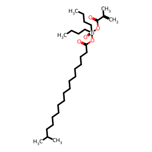 C=C(C)C(=O)[O][Ti](=[O])([CH2]CCC)([CH2]CCC)[O]C(=O)CCCCCCCCCCCCCCC(C)C